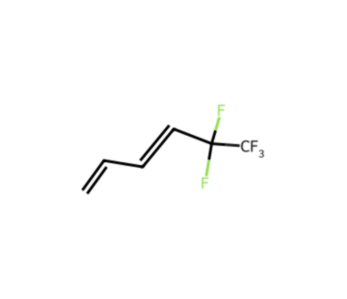 C=CC=CC(F)(F)C(F)(F)F